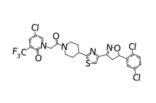 O=C(Cn1cc(Cl)cc(C(F)(F)F)c1=O)N1CCC(c2nc(C3=NOC(c4cc(Cl)ccc4Cl)C3)cs2)CC1